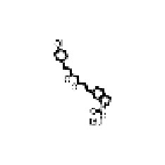 CC(C)(C)OC(=O)N1CCc2ccc(/C=C/C(=O)CC(=O)/C=C/c3ccc(O)cc3)cc21